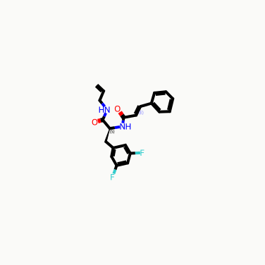 C=CCNC(=O)[C@H](Cc1cc(F)cc(F)c1)NC(=O)/C=C/c1ccccc1